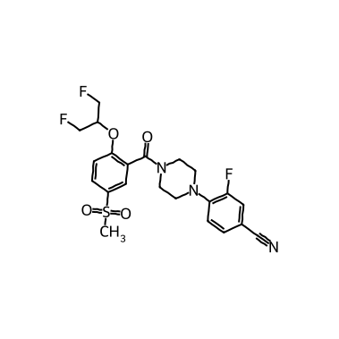 CS(=O)(=O)c1ccc(OC(CF)CF)c(C(=O)N2CCN(c3ccc(C#N)cc3F)CC2)c1